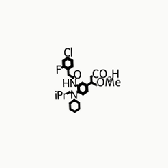 COCC(CC(=O)O)c1ccc(N(CC(C)C)C2CCCCC2)c(NC(=O)Cc2ccc(Cl)cc2F)c1